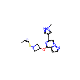 C/C=C\SN1CC(Oc2nc(-c3cnn(C)c3)cn3nccc23)C1